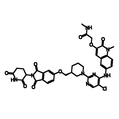 CNC(=O)COc1cc2cc(Nc3nc(N4CCC[C@H](COc5ccc6c(c5)C(=O)N(C5CCC(=O)NC5=O)C6=O)C4)ncc3Cl)ccc2n(C)c1=O